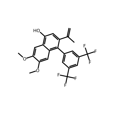 C=C(C)c1cc(O)c2cc(OC)c(OC)cc2c1-c1cc(C(F)(F)F)cc(C(F)(F)F)c1